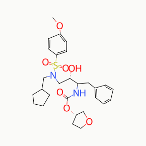 COc1ccc(S(=O)(=O)N(CC2CCCC2)C[C@H](O)C(Cc2ccccc2)NC(=O)O[C@H]2CCOC2)cc1